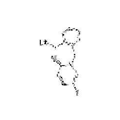 CCC1N=C2C=CC(I)=CN2Cc2ccccc21